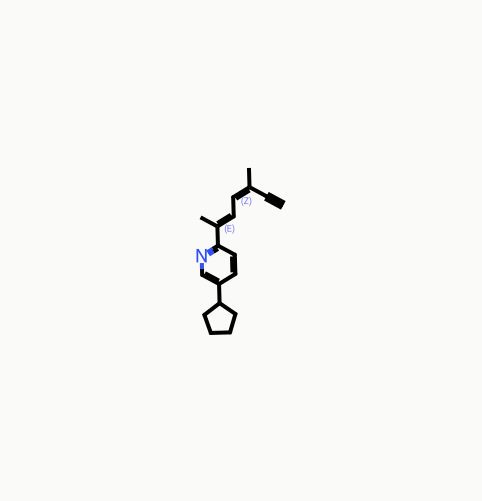 C#C/C(C)=C\C=C(/C)c1ccc(C2CCCC2)cn1